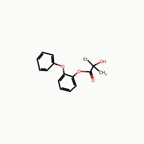 CCC(C)(O)C(=O)Oc1ccccc1Oc1ccccc1